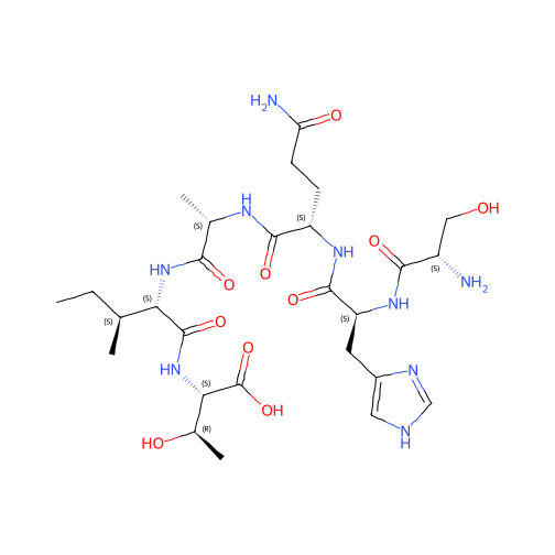 CC[C@H](C)[C@H](NC(=O)[C@H](C)NC(=O)[C@H](CCC(N)=O)NC(=O)[C@H](Cc1c[nH]cn1)NC(=O)[C@@H](N)CO)C(=O)N[C@H](C(=O)O)[C@@H](C)O